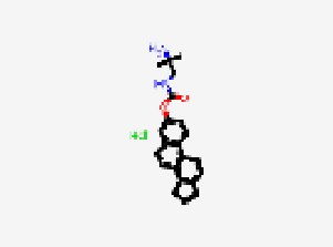 CC(C)(N)CNC(=O)Oc1ccc2c(ccc3c4c(ccc32)C=CC4)c1.Cl